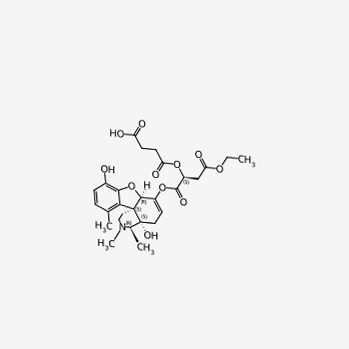 CCOC(=O)C[C@H](OC(=O)CCC(=O)O)C(=O)OC1=CC[C@@]2(O)[C@@H](C)N(C)CC[C@@]23c2c(C)ccc(O)c2O[C@@H]13